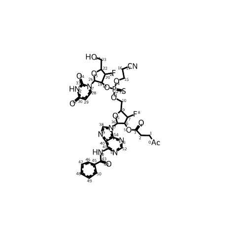 CC(=O)CCC(=O)OC1C(F)C(COP(=S)(OCCC#N)OC2C(F)C(CO)OC2n2ccc(=O)[nH]c2=O)OC1n1cnc2c(NC(=O)c3ccccc3)ncnc21